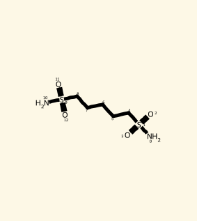 NS(=O)(=O)CCCCCS(N)(=O)=O